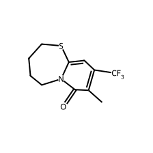 Cc1c(C(F)(F)F)cc2n(c1=O)CCCCS2